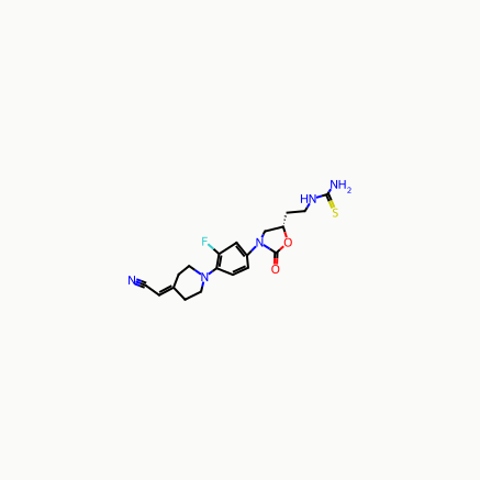 N#CC=C1CCN(c2ccc(N3C[C@H](CCNC(N)=S)OC3=O)cc2F)CC1